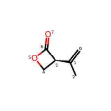 C=C(C)[C@H]1COC1=O